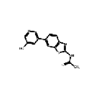 CC(=O)Nc1nc2ccc(-c3cncc(O)c3)cc2s1